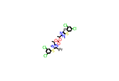 CC(C)c1nc(C(C)OC(=O)OC(C)c2nc(C(C)C)c(Sc3cc(Cl)cc(Cl)c3)n2C)n(C)c1Sc1cc(Cl)cc(Cl)c1